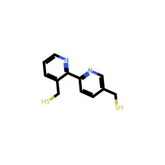 SCc1ccc(-c2ncccc2CS)nc1